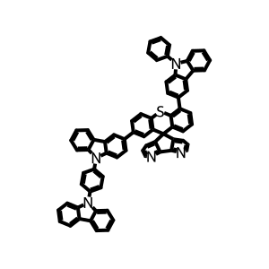 c1ccc(-n2c3ccccc3c3cc(-c4cccc5c4Sc4ccc(-c6ccc7c(c6)c6ccccc6n7-c6ccc(-n7c8ccccc8c8ccccc87)cc6)cc4C54c5cccnc5-c5ncccc54)ccc32)cc1